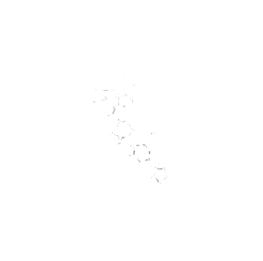 Oc1cc(-n2ccnc2)ccc1-c1ncc(/C=C2\C[C@H]3CCC[C@H](N3)[C@@H]2F)nn1